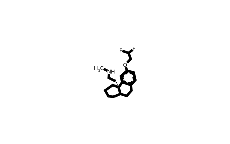 CNCC[C@@]12CCCCC1CCc1ccc(OCC(F)F)cc12